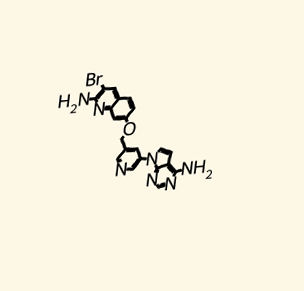 Nc1nc2cc(OCc3cncc(-n4ccc5c(N)ncnc54)c3)ccc2cc1Br